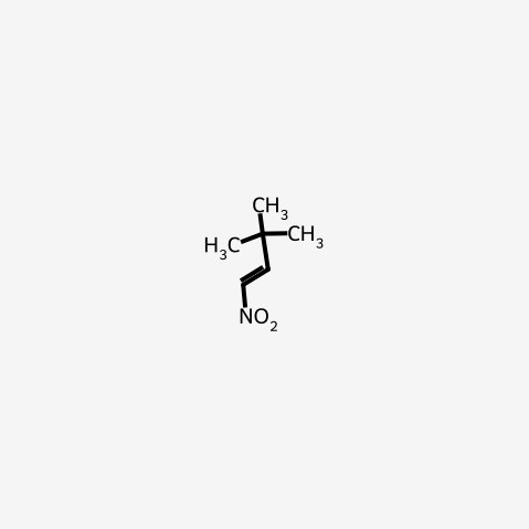 CC(C)(C)C=C[N+](=O)[O-]